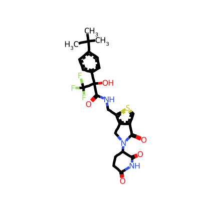 CC(C)(C)c1ccc(C(O)(C(=O)NCc2scc3c2CN(C2CCC(=O)NC2=O)C3=O)C(F)(F)F)cc1